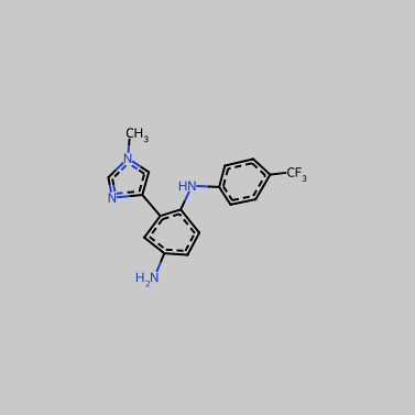 Cn1cnc(-c2cc(N)ccc2Nc2ccc(C(F)(F)F)cc2)c1